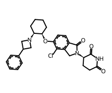 O=C1CC[C@@H](N2Cc3c(ccc(O[C@@H]4CCCC[C@@H]4N4CC(c5ccccc5)C4)c3Cl)C2=O)C(=O)N1